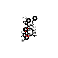 CC(C)C1NC(=O)[C@@H](NC(=O)OCc2ccccc2)Cc2ccc3c(c2)C2(c4cccc(Br)c4N(C)C2O3)c2oc1nc2C(=O)NCC(=O)c1c[nH]c2c(O)cccc12